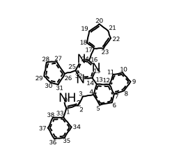 N/C(=C\Cc1ccc2ccccc2c1-c1nc(C2=CC=CCC=C2)nc(-c2ccccc2)n1)c1ccccc1